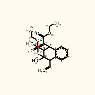 C=CC1c2ccccc2C2C(C(=O)OCC)=C(C)NC1(C)C2C(=O)OCC